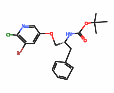 CC(C)(C)OC(=O)N[C@@H](COc1cnc(Cl)c(Br)c1)Cc1ccccc1